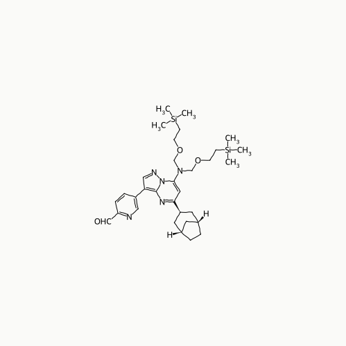 C[Si](C)(C)CCOCN(COCC[Si](C)(C)C)c1cc([C@H]2C[C@@H]3CC[C@@H](C3)C2)nc2c(-c3ccc(C=O)nc3)cnn12